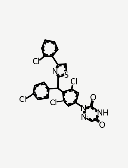 O=c1cnn(-c2cc(Cl)c(C(c3ccc(Cl)cc3)c3nc(-c4ccccc4Cl)cs3)c(Cl)c2)c(=O)[nH]1